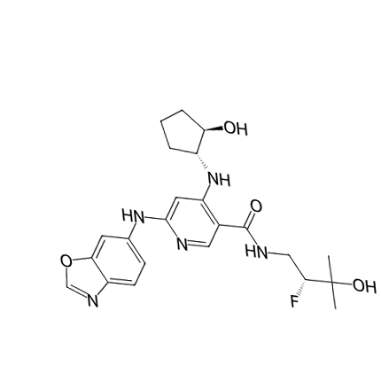 CC(C)(O)[C@H](F)CNC(=O)c1cnc(Nc2ccc3ncoc3c2)cc1N[C@@H]1CCC[C@H]1O